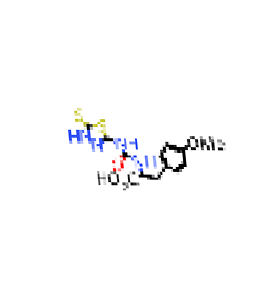 COc1ccc(C[C@H](NC(=O)Nc2n[nH]c(=S)s2)C(=O)O)cc1